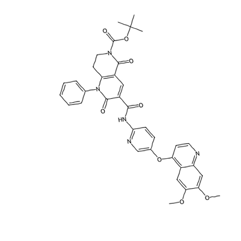 COc1cc2nccc(Oc3ccc(NC(=O)c4cc5c(n(-c6ccccc6)c4=O)CCN(C(=O)OC(C)(C)C)C5=O)nc3)c2cc1OC